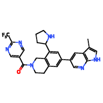 Cc1c[nH]c2ncc(-c3cc4c(c(C5CCCN5)c3)CN(C(=O)c3cnc(C(F)(F)F)nc3)CC4)cc12